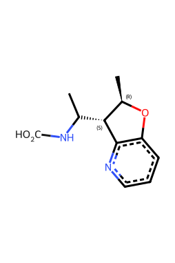 CC(NC(=O)O)[C@H]1c2ncccc2O[C@@H]1C